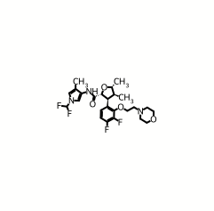 Cc1cn(C(F)F)cc1NC(=O)[C@@H]1O[C@H](C)[C@@H](C)[C@H]1c1ccc(F)c(F)c1OCCN1CCOCC1